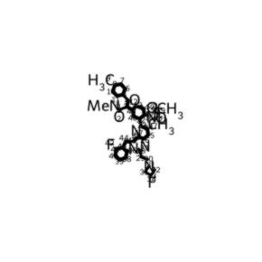 CNC(=O)c1c(-c2ccc(C)cc2)oc2cc(N(C)S(C)(=O)=O)c(-c3ccc4nc(CCN5CC(F)C5)n5c6cccc(F)c6cc5c4n3)cc12